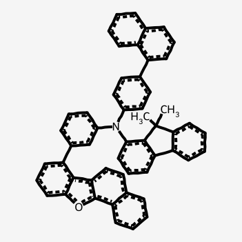 CC1(C)c2ccccc2-c2cccc(N(c3ccc(-c4cccc5ccccc45)cc3)c3cccc(-c4cccc5oc6c7ccccc7ccc6c45)c3)c21